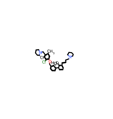 Cc1cc(OCc2cccc(C3C=CC=C(/C=C/CCN4CCCCC4)C3C)c2C)c(Cl)cc1CN1CCCC[C@H]1C